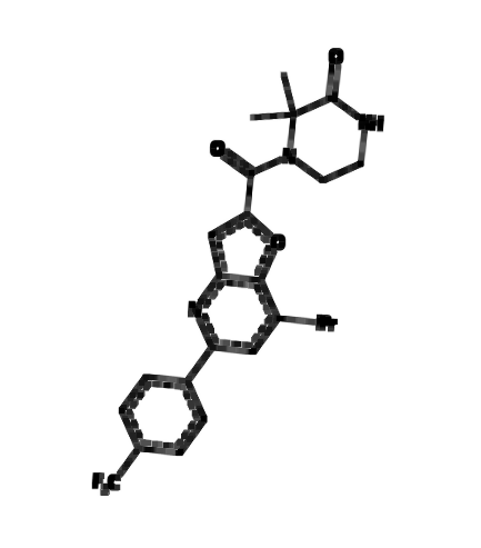 CC(C)c1cc(-c2ccc(C(F)(F)F)cc2)nc2cc(C(=O)N3CCNC(=O)C3(C)C)oc12